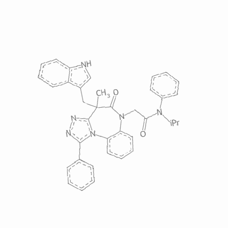 CC(C)N(C(=O)CN1C(=O)C(C)(Cc2c[nH]c3ccccc23)c2nnc(-c3ccccc3)n2-c2ccccc21)c1ccccc1